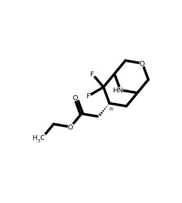 CCOC(=O)C[C@H]1CC2COCC(N2)C1(F)F